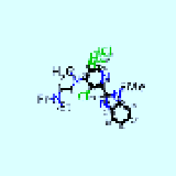 CCN(CC)CCN(C)c1ccnc(-c2nc3ccccc3n2SC)c1Cl.Cl.Cl.Cl